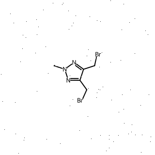 Cn1nc(CBr)c(CBr)n1